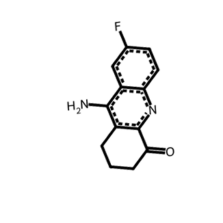 Nc1c2c(nc3ccc(F)cc13)C(=O)CCC2